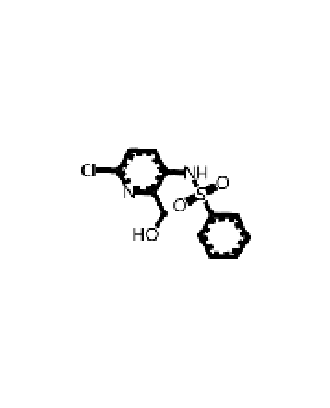 O=S(=O)(Nc1ccc(Cl)nc1CO)c1ccccc1